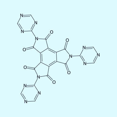 O=c1c2c3c(=O)n(-c4ncncn4)c(=O)c3c3c(=O)n(-c4ncncn4)c(=O)c3c2c(=O)n1-c1ncncn1